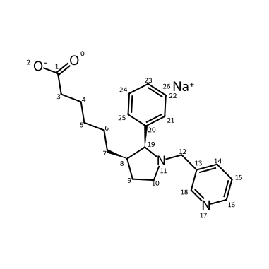 O=C([O-])CCCCC[C@@H]1CCN(Cc2cccnc2)[C@@H]1c1ccccc1.[Na+]